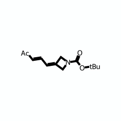 CC(=O)/C=C/C=C1CN(C(=O)OC(C)(C)C)C1